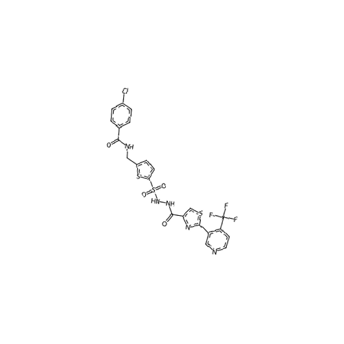 O=C(NCc1ccc(S(=O)(=O)NNC(=O)c2csc(-c3cnccc3C(F)(F)F)n2)s1)c1ccc(Cl)cc1